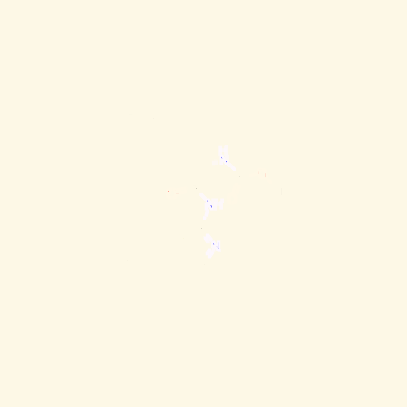 CC(C)(C)OC(=O)N[C@H](C(=O)Nc1ncc(C(CC(F)(F)F)C(=O)O)s1)C1CCC(F)(F)CC1